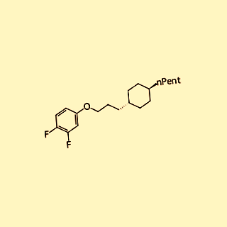 CCCCC[C@H]1CC[C@H](CCCOc2ccc(F)c(F)c2)CC1